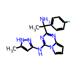 Cc1cc(Nc2nc(C(C)(N)c3ccc(F)cc3)nc3cccn23)n[nH]1